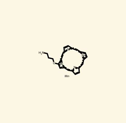 NCCCOc1cc2cc3nc(cc4ccc(cc5nc(cc1[nH]2)C=C5)[nH]4)C=C3.[Mn]